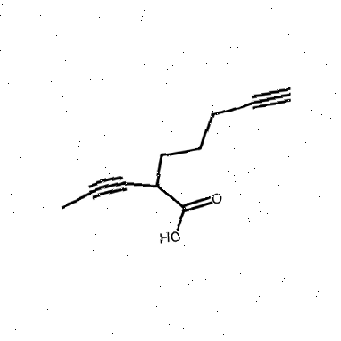 C#CCCCC(C#CC)C(=O)O